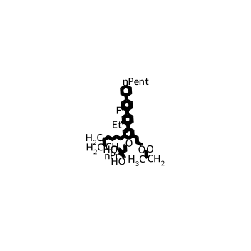 C=C(C)C(=C)CCCCC1C=C(c2ccc(-c3ccc(C4CCC(CCCCC)CC4)cc3F)cc2CC)C=C(CCCOC(=O)C(=C)C)C1OCCC(CO)(CO)CCC